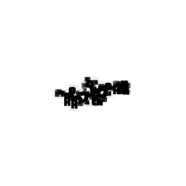 CC(C)NC(=O)Nc1ccc(-c2c(C#N)c3ccc(OCCc4ncn[nH]4)cc3n2C2CCC2)cc1